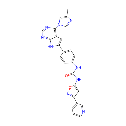 Cc1cn(-c2ncnc3[nH]c(-c4ccc(NC(=O)Nc5cc(-c6cccnc6)no5)cc4)cc23)cn1